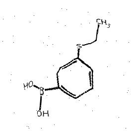 CCSc1cccc(B(O)O)c1